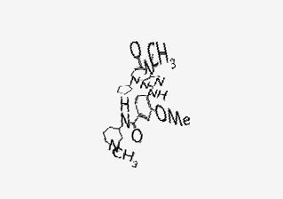 COc1cc(C(=O)N[C@@H]2CCCN(C)C2)ccc1Nc1ncc2c(n1)N(C1CCCC1)CCC(=O)N2C